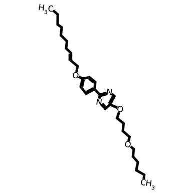 CCCCCCC/C=C/COc1ccc(-c2ncc(OCCCCOCCCCCC)cn2)cc1